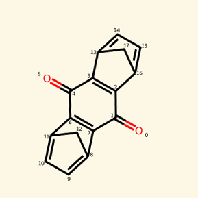 O=C1C2=C(C(=O)C3=C1C1=CC=C3C1)C1=CC=C2C1